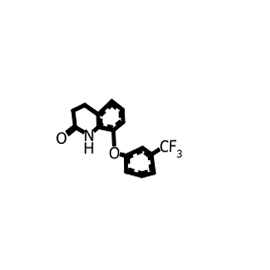 O=C1CCc2cccc(Oc3cccc(C(F)(F)F)c3)c2N1